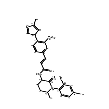 COc1nc(/C=C/C(=O)NN2CCC(C)N(c3ccc(F)cc3F)C2=O)ccc1-n1cnc(C)c1